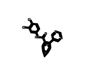 O=C(Nc1ccc(Cl)c(Cl)c1)c1c(-c2cncnc2)c2oc1c1c2C1